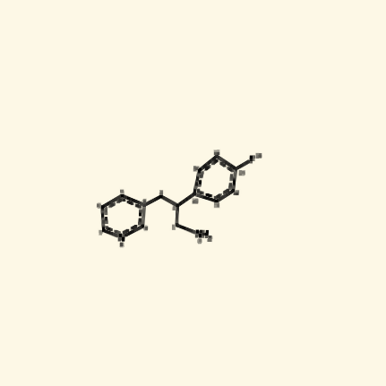 NCC(Cc1cccnc1)c1ccc(F)cc1